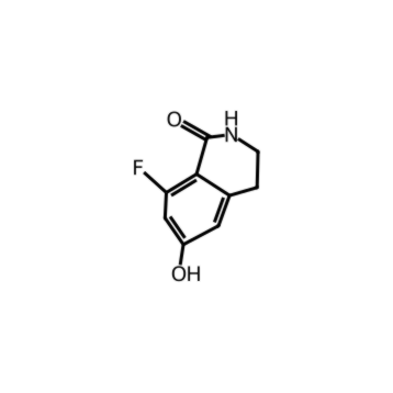 O=C1NCCc2cc(O)cc(F)c21